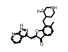 Cc1ccc2c(c1CC1CCNC[C@@H]1F)O/C(=C\c1n[nH]c3ncccc13)C2=O